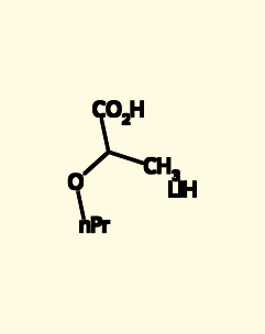 CCCOC(C)C(=O)O.[LiH]